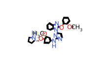 COc1cc(Nc2nccc(-n3c(Oc4ccccc4OC)nc4ccccc43)n2)ccc1OC[C@@H]1CCCN1